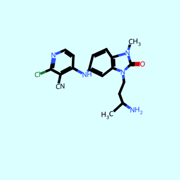 CC(N)CCn1c(=O)n(C)c2ccc(Nc3ccnc(Cl)c3C#N)cc21